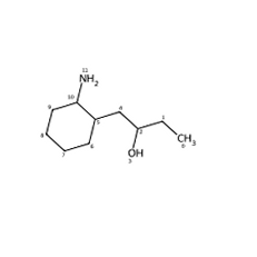 CCC(O)CC1CCCCC1N